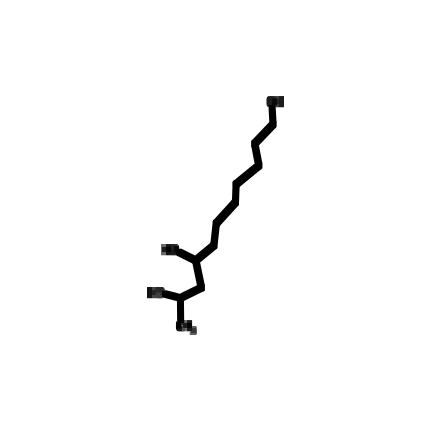 CC(O)CC(O)CCCCCCCO